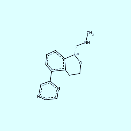 CNC[C@@H]1OCCc2c(-c3cnccn3)cccc21